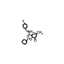 Cc1cc(=O)c(OCc2ccccc2)c(C(=O)NCc2ccc(F)cc2)o1